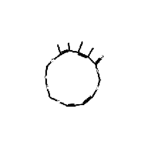 CC1=C(C)C(C)=C(C)C(=O)OCCC=CC=CCCCCCC1